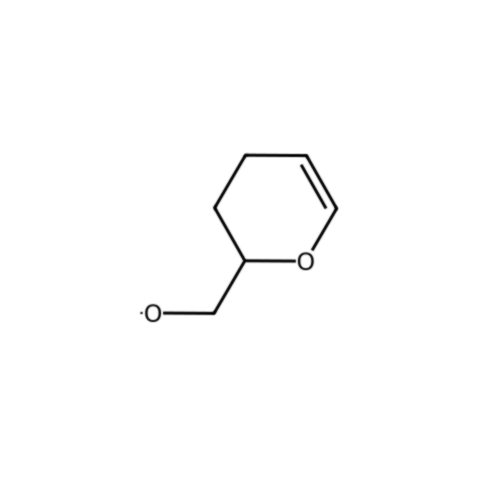 [O]CC1CCC=CO1